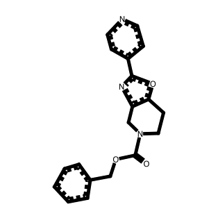 O=C(OCc1ccccc1)N1CCc2oc(-c3ccncc3)nc2C1